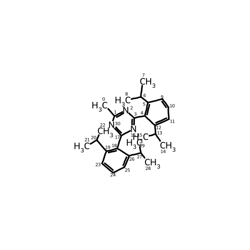 Cc1nc(-c2c(C(C)C)cccc2C(C)C)nc(-c2c(C(C)C)cccc2C(C)C)n1